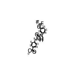 COC(=O)c1ccc(CNC(=O)Nc2cccc(OC(F)F)c2)cc1